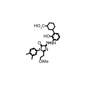 COCCC1=NC(=NNc2cccc(C3CCCC(C(=O)O)C3)c2O)C(=O)N1c1ccc(C)c(C)c1